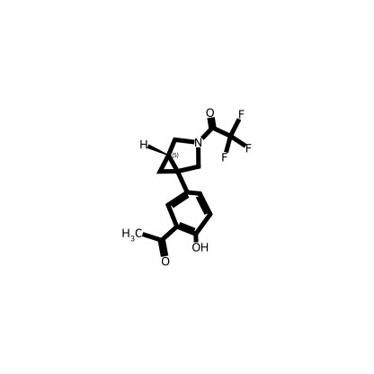 CC(=O)c1cc(C23C[C@@H]2CN(C(=O)C(F)(F)F)C3)ccc1O